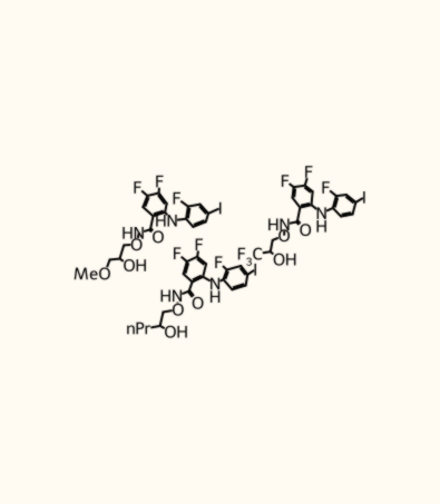 CCCC(O)CONC(=O)c1cc(F)c(F)cc1Nc1ccc(I)cc1F.COCC(O)CONC(=O)c1cc(F)c(F)cc1Nc1ccc(I)cc1F.O=C(NOCC(O)C(F)(F)F)c1cc(F)c(F)cc1Nc1ccc(I)cc1F